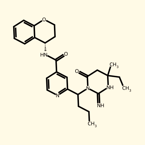 CCCC(c1cc(C(=O)N[C@H]2CCOc3ccccc32)ccn1)N1C(=N)NC(C)(CC)CC1=O